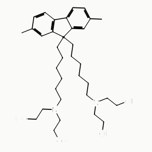 Cc1ccc2c(c1)C(CCCCCCN(CCO)CCO)(CCCCCCN(CCO)CCO)c1cc(C)ccc1-2